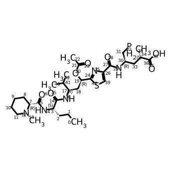 CCC[C@H](NC(=O)[C@H]1CCCCN1C)C(=O)N[C@H](C[C@@H](OC(C)=O)c1nc(C(=O)N[C@@H](CP)C[C@H](C)C(=O)O)cs1)C(C)C